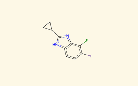 Fc1c(I)ccc2[nH]c(C3CC3)nc12